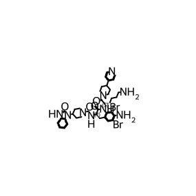 NCCCC[C@H](NC(=O)[C@@H](Cc1cc(Br)c(N)c(Br)c1)NC(=O)N1CCC(n2c(=O)[nH]c3ccccc32)CC1)C(=O)N1CCC(c2ccncc2)CC1